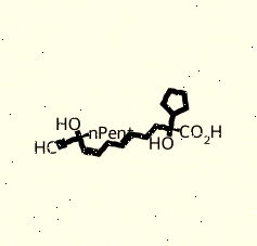 C#C[C@](O)(/C=C\C/C=C/CC[C@](O)(C(=O)O)C1CCCC1)CCCCC